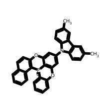 Cc1ccc2c(c1)c1cc(C)ccc1n2-c1cc2c3c(c1)Oc1ccc4ccccc4c1P3(=O)c1ccccc1O2